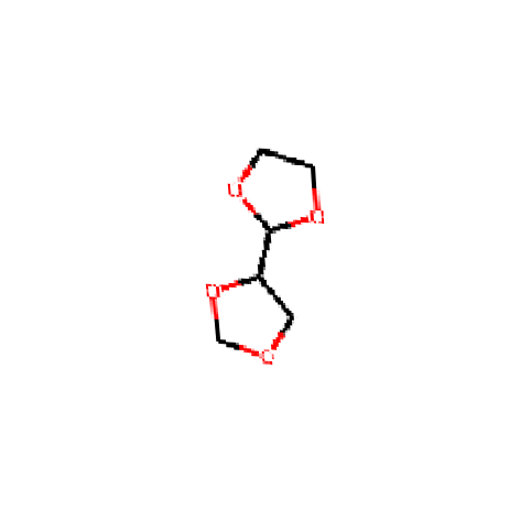 C1OC[C](C2OCCO2)O1